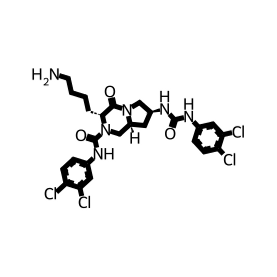 NCCCC[C@@H]1C(=O)N2C[C@@H](NC(=O)Nc3ccc(Cl)c(Cl)c3)C[C@H]2CN1C(=O)Nc1ccc(Cl)c(Cl)c1